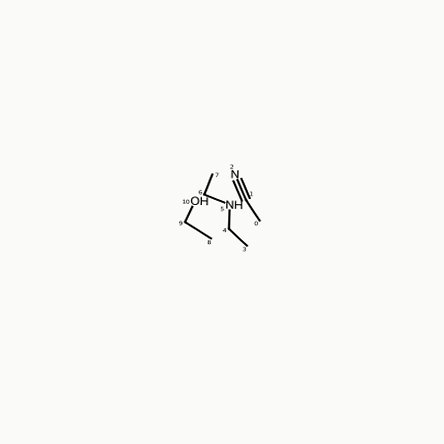 CC#N.CCNCC.CCO